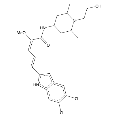 COC(=CC=Cc1cc2cc(Cl)c(Cl)cc2[nH]1)C(=O)NC1CC(C)N(CCO)C(C)C1